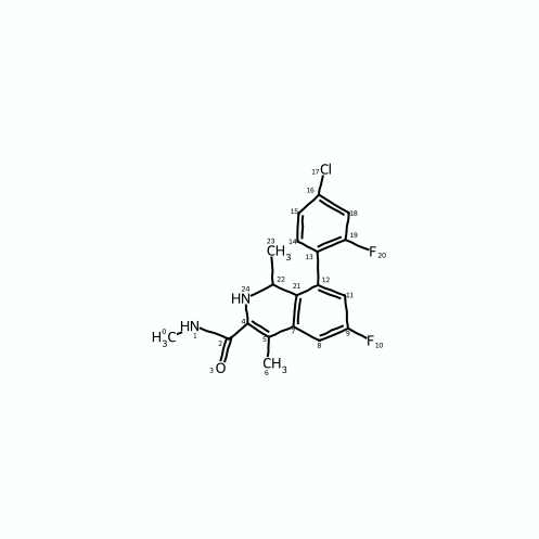 CNC(=O)C1=C(C)c2cc(F)cc(-c3ccc(Cl)cc3F)c2C(C)N1